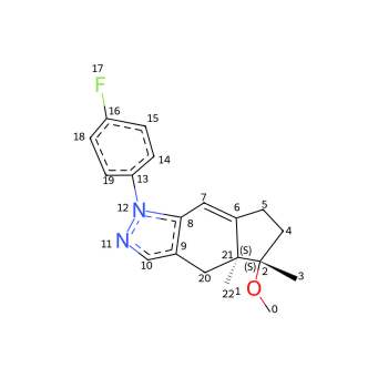 CO[C@@]1(C)CCC2=Cc3c(cnn3-c3ccc(F)cc3)C[C@@]21C